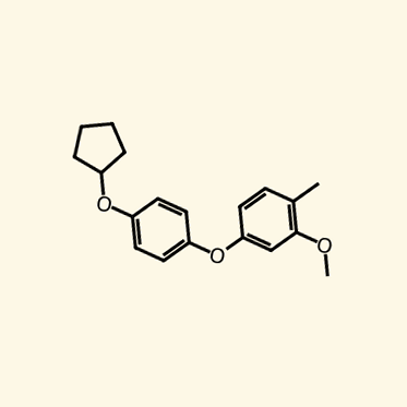 COc1cc(Oc2ccc(OC3CCCC3)cc2)ccc1C